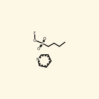 CCCCS(=O)(=O)OF.c1ccncc1